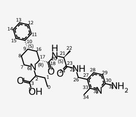 CCC(C(=O)O)N1CC[C@H](c2ccccc2)C[C@@H]1C(=O)N[C@@H](C)C(=O)NCc1ccc(N)nc1C